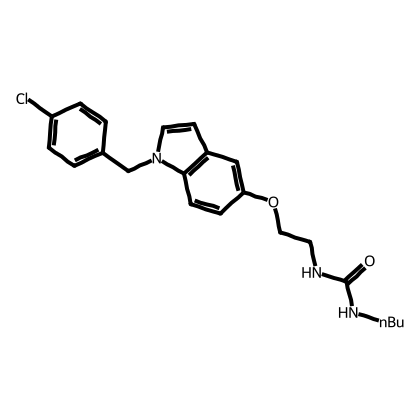 CCCCNC(=O)NCCOc1ccc2c(ccn2Cc2ccc(Cl)cc2)c1